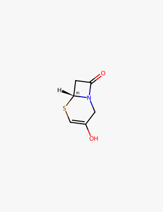 O=C1C[C@H]2SC=C(O)CN12